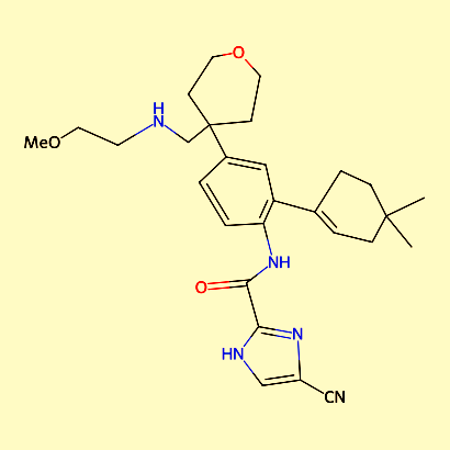 COCCNCC1(c2ccc(NC(=O)c3nc(C#N)c[nH]3)c(C3=CCC(C)(C)CC3)c2)CCOCC1